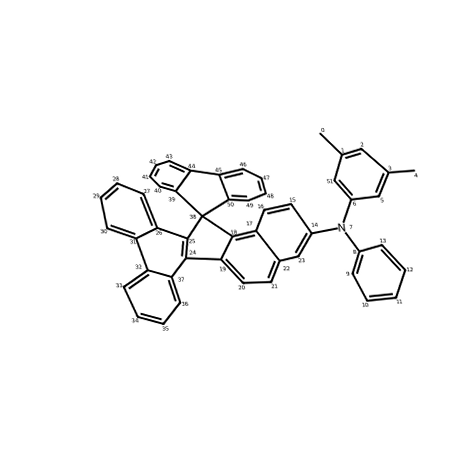 Cc1cc(C)cc(N(c2ccccc2)c2ccc3c4c(ccc3c2)-c2c(c3ccccc3c3ccccc23)C42c3ccccc3-c3ccccc32)c1